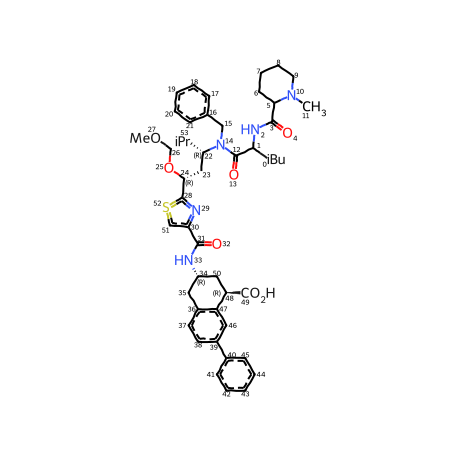 CCC(C)C(NC(=O)C1CCCCN1C)C(=O)N(Cc1ccccc1)[C@H](C[C@@H](OCOC)c1nc(C(=O)N[C@H]2Cc3ccc(-c4ccccc4)cc3[C@H](C(=O)O)C2)cs1)C(C)C